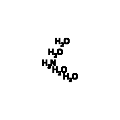 N.O.O.O.O